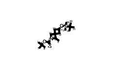 CC1N(C(=S)OC(C)(C)C)CC12CC(O[Si](C)(C)C(C)(C)C)C2